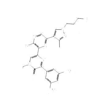 COc1cc(OC)cc(-c2nc(-c3nc(-c4cn(C[C@@H](O)CC(F)(F)F)nc4C)cnc3N)cn(C)c2=O)c1